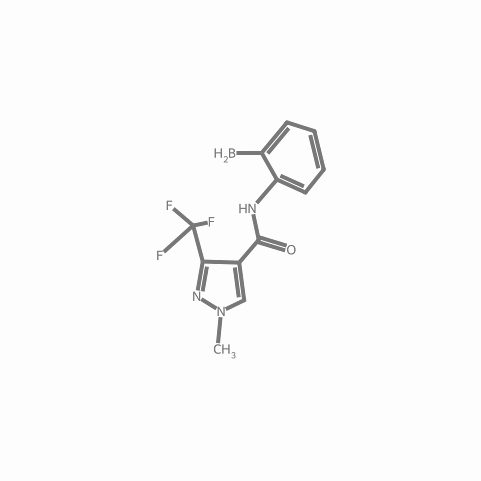 Bc1ccccc1NC(=O)c1cn(C)nc1C(F)(F)F